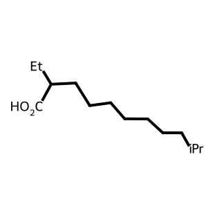 CCC(CCCCCCCC(C)C)C(=O)O